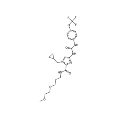 COCCOCCCNC(=O)c1nc(NC(=O)Nc2ccc(OC(F)(F)F)cc2)cn1CC1CC1